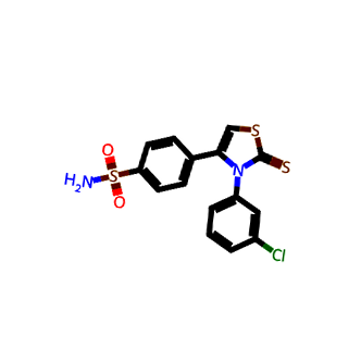 NS(=O)(=O)c1ccc(-c2csc(=S)n2-c2cccc(Cl)c2)cc1